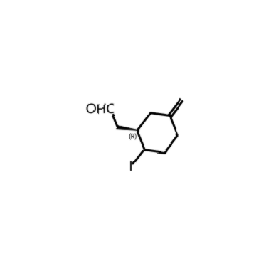 C=C1CCC(I)[C@@H](CC=O)C1